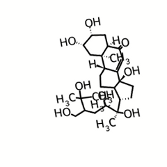 CC(C)(O)C(CO)CC(O)[C@](C)(O)[C@H]1CC[C@@]2(O)C3=CC(=O)[C@@H]4C[C@@H](O)[C@@H](O)C[C@]4(C)[C@H]3CC[C@]12C